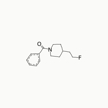 O=C(c1ccccc1)N1CCC(CCF)CC1